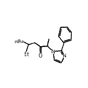 CCCCC(CC)CC(=O)C(C)n1ccnc1-c1ccccc1